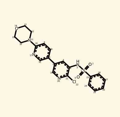 O=S(=O)(Nc1cc(-c2ccc(N3CCOCC3)nc2)cnc1Cl)c1ccccc1